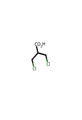 O=C(O)C(CCl)CCl